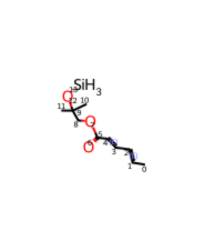 C/C=C/C=C/C(=O)OCC(C)(C)O[SiH3]